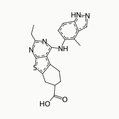 CCc1nc(Nc2ccc3[nH]ncc3c2C)c2c3c(sc2n1)CC(C(=O)O)CC3